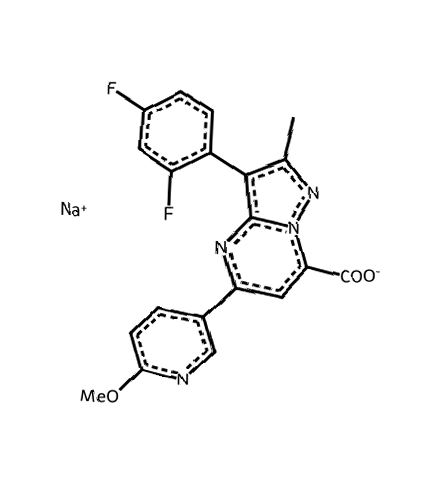 COc1ccc(-c2cc(C(=O)[O-])n3nc(C)c(-c4ccc(F)cc4F)c3n2)cn1.[Na+]